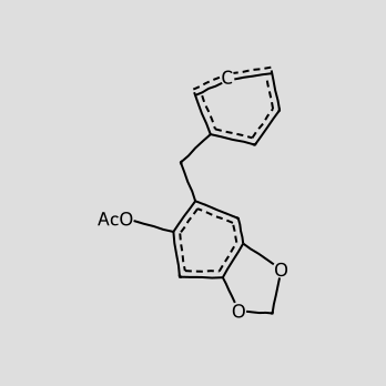 CC(=O)Oc1cc2c(cc1Cc1ccccc1)OCO2